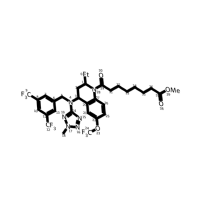 CCC1CC(N(Cc2cc(C(F)(F)F)cc(C(F)(F)F)c2)c2nnn(C)n2)c2cc(OC(F)(F)F)ccc2N1C(=O)CCCCCCC(=O)OC